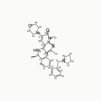 Cc1nc(N[C@H](C)c2ccc(-c3ccccc3CN3CCCC3)cc2)c2cc(N3CCOCC3)c(=O)n(C)c2n1